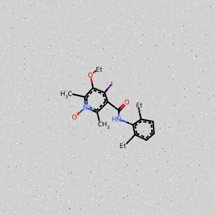 CCOc1c(I)c(C(=O)Nc2c(CC)cccc2CC)c(C)[n+]([O-])c1C